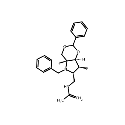 C=C(C)NC[C@@H]1[C@H](F)[C@@H]2OC(c3ccccc3)OC[C@H]2N1Cc1ccccc1